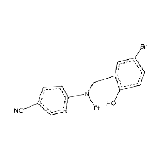 CCN(Cc1cc(Br)ccc1O)c1ccc(C#N)cn1